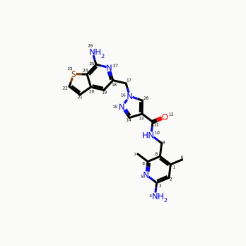 Cc1cc(N)nc(C)c1CNC(=O)c1cnn(Cc2cc3ccsc3c(N)n2)c1